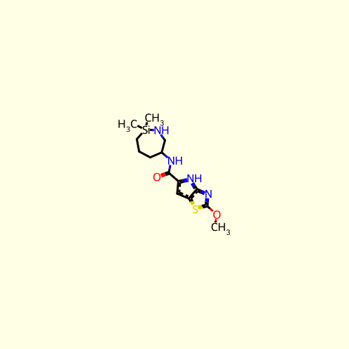 COc1nc2[nH]c(C(=O)NC3CCC[Si](C)(C)NC3)cc2s1